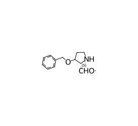 O=[C][C@H]1NCCC1OCc1ccccc1